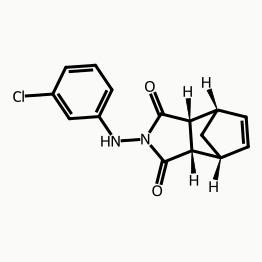 O=C1[C@@H]2[C@H](C(=O)N1Nc1cccc(Cl)c1)[C@@H]1C=C[C@H]2C1